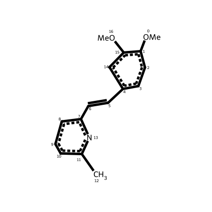 COc1ccc(C=Cc2cccc(C)n2)cc1OC